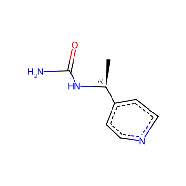 C[C@H](NC(N)=O)c1ccncc1